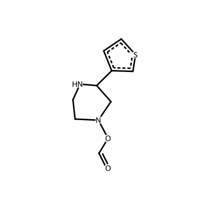 O=CON1CCNC(c2ccsc2)C1